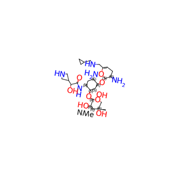 CN[C@@H]1[C@@H](O)[C@@H](O[C@@H]2[C@@H](O)[C@H](O[C@H]3OC(CNCC4CC4)=CC[C@H]3N)[C@@H](N)C[C@H]2NC(=O)C(O)C2CNC2)OC[C@]1(C)O